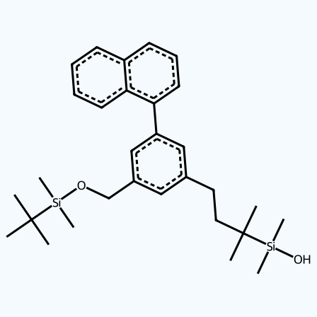 CC(C)(CCc1cc(CO[Si](C)(C)C(C)(C)C)cc(-c2cccc3ccccc23)c1)[Si](C)(C)O